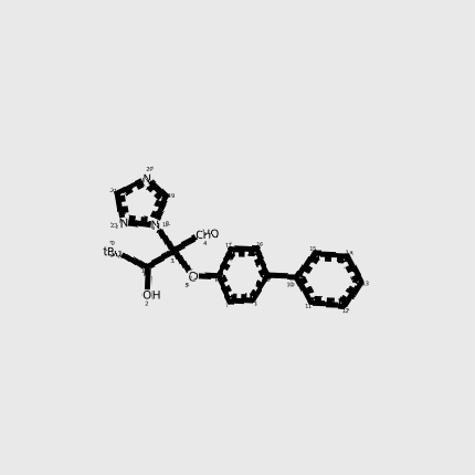 CC(C)(C)C(O)C(C=O)(Oc1ccc(-c2ccccc2)cc1)n1cncn1